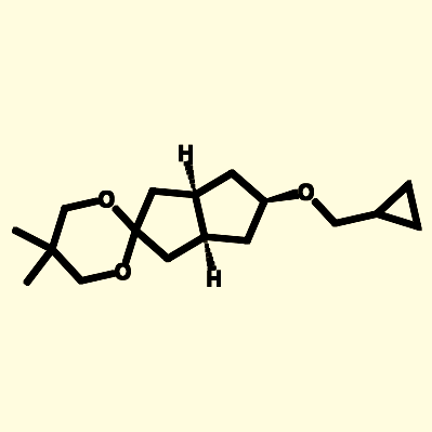 CC1(C)COC2(C[C@H]3C[C@@H](OCC4CC4)C[C@H]3C2)OC1